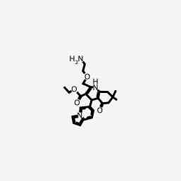 CCOC(=O)C1=C(COCCN)NC2=C(C(=O)CC(C)(C)C2)C1c1ccc2cccn2c1